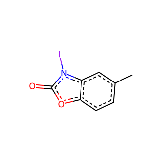 Cc1ccc2oc(=O)n(I)c2c1